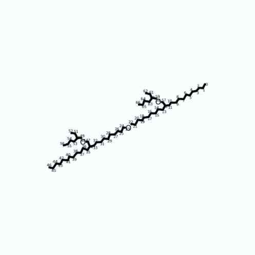 CCCCCCCCCCCCC(CCCCCCCCCCOCCCCCCCCCCC(CCCCCCCCCCCC)COCC(CC)CCCC)COCC(CC)CCCC